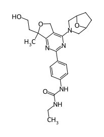 CCNC(=O)Nc1ccc(-c2nc(N3CC4CCC(C3)O4)c3c(n2)C(C)(CCO)OC3)cc1